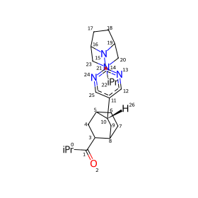 CC(C)C(=O)C1CC2CCC1C[C@H]2c1cnc(N2C3CCC2CN(C(C)C)C3)nc1